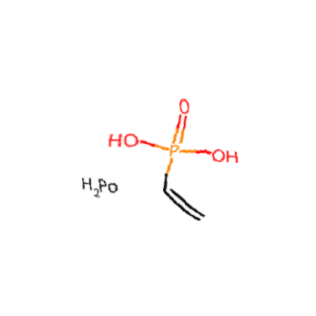 C=CP(=O)(O)O.[PoH2]